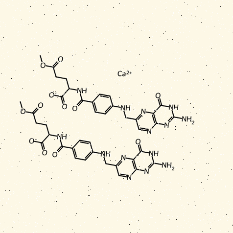 COC(=O)CCC(NC(=O)c1ccc(NCc2cnc3nc(N)[nH]c(=O)c3n2)cc1)C(=O)[O-].COC(=O)CCC(NC(=O)c1ccc(NCc2cnc3nc(N)[nH]c(=O)c3n2)cc1)C(=O)[O-].[Ca+2]